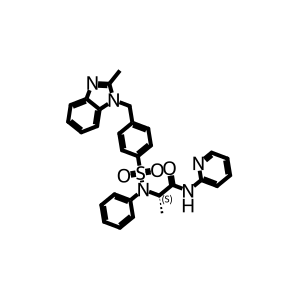 Cc1nc2ccccc2n1Cc1ccc(S(=O)(=O)N(c2ccccc2)[C@@H](C)C(=O)Nc2ccccn2)cc1